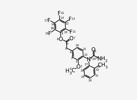 COc1cc(CC(=O)Oc2c(F)c(F)c(F)c(F)c2F)ccc1N(C(N)=O)c1ccccc1C